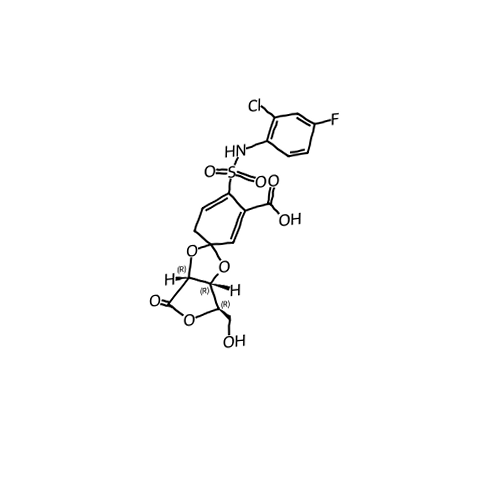 O=C(O)C1=CC2(CC=C1S(=O)(=O)Nc1ccc(F)cc1Cl)O[C@@H]1[C@@H](CO)OC(=O)[C@@H]1O2